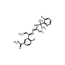 C=C/C(=N\N=C(/N)NC(C)(C)c1ncccc1F)c1cc(C(N)=O)ccc1F